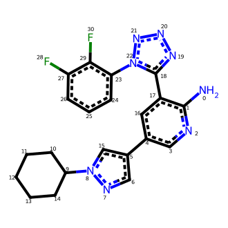 Nc1ncc(-c2cnn(C3CCCCC3)c2)cc1-c1nnnn1-c1cccc(F)c1F